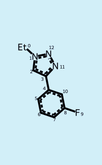 CCn1cc(-c2cccc(F)c2)nn1